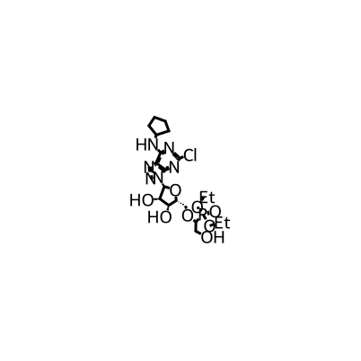 CCOP(=O)(OCC)C(CO)OC[C@H]1O[C@H](n2nnc3c(NC4CCCC4)nc(Cl)nc32)[C@H](O)[C@@H]1O